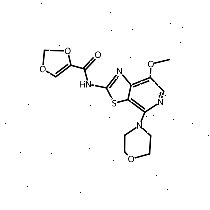 COc1cnc(N2CCOCC2)c2sc(NC(=O)C3=COCO3)nc12